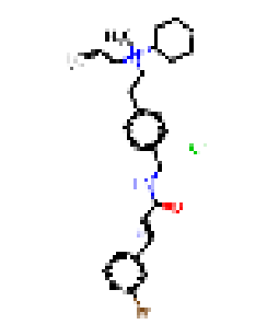 C=CC[N+](C)(CCc1ccc(CNC(=O)/C=C/c2cccc(Br)c2)cc1)C1CCCCC1.[Cl-]